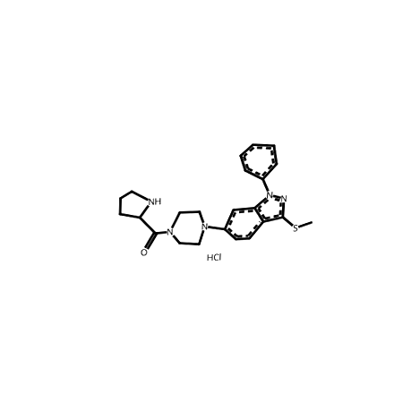 CSc1nn(-c2ccccc2)c2cc(N3CCN(C(=O)C4CCCN4)CC3)ccc12.Cl